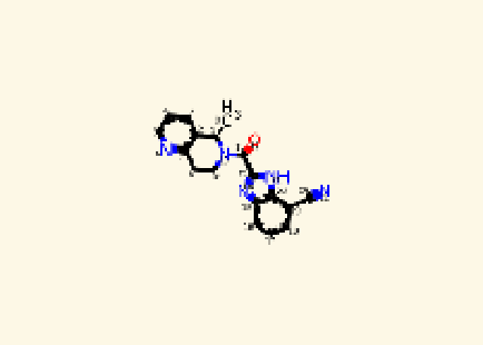 C[C@@H]1c2cccnc2CCN1C(=O)c1nc2cccc(C#N)c2[nH]1